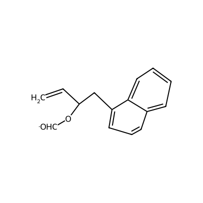 C=CC(Cc1cccc2ccccc12)O[C]=O